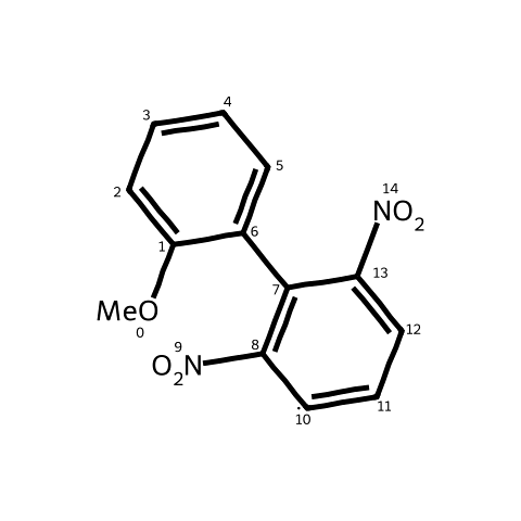 COc1ccccc1-c1c([N+](=O)[O-])[c]ccc1[N+](=O)[O-]